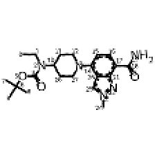 CCN(C(=O)OC(C)(C)C)C1CCN(c2ccc(C(N)=O)c3nn(C)cc23)CC1